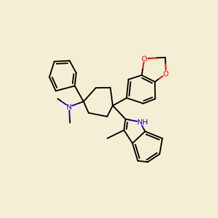 Cc1c(C2(c3ccc4c(c3)OCO4)CCC(c3ccccc3)(N(C)C)CC2)[nH]c2ccccc12